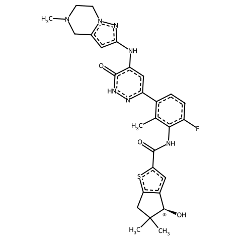 Cc1c(-c2cc(Nc3cc4n(n3)CCN(C)C4)c(=O)[nH]n2)ccc(F)c1NC(=O)c1cc2c(s1)CC(C)(C)[C@@H]2O